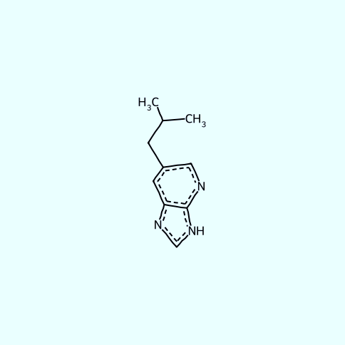 CC(C)Cc1cnc2[nH]cnc2c1